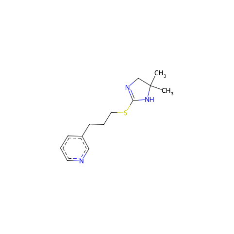 CC1(C)CN=C(SCCCc2cccnc2)N1